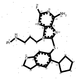 CC(C)NCCCn1c(Sc2cc3c(cc2C2CCCC2)CCO3)nc2c(N)nc(F)nc21